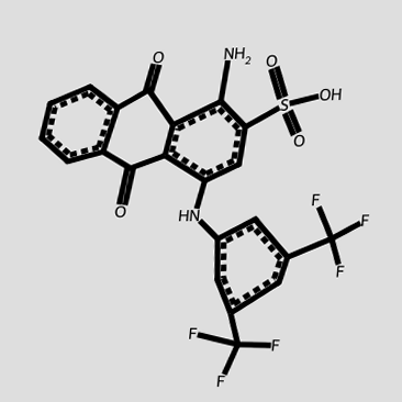 Nc1c(S(=O)(=O)O)cc(Nc2cc(C(F)(F)F)cc(C(F)(F)F)c2)c2c1C(=O)c1ccccc1C2=O